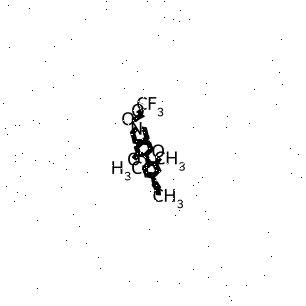 CC#Cc1cc(C)c(C2C(=O)CC3(CCN(C(=O)COC(F)(F)F)CC3)CC2=O)c(C)c1